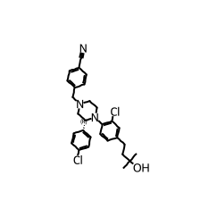 CC(C)(O)CCc1ccc(N2CCN(Cc3ccc(C#N)cc3)C[C@H]2c2ccc(Cl)cc2)c(Cl)c1